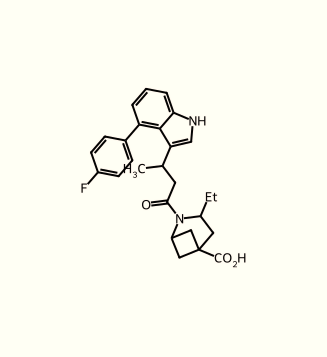 CCC1CC2(C(=O)O)CC(C2)N1C(=O)CC(C)c1c[nH]c2cccc(-c3ccc(F)cc3)c12